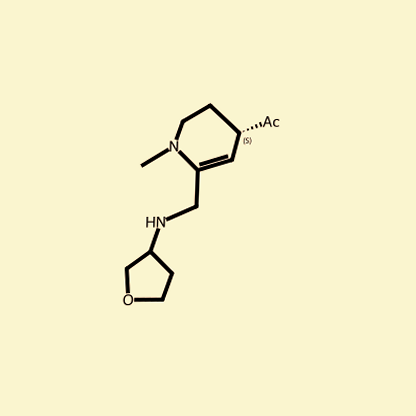 CC(=O)[C@@H]1C=C(CNC2CCOC2)N(C)CC1